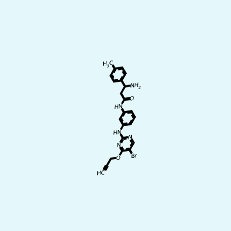 C#CCOc1nc(Nc2cccc(NC(=O)CC(N)c3ccc(C)cc3)c2)ncc1Br